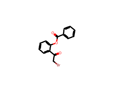 O=C(Oc1ccccc1C(=O)CBr)c1ccccc1